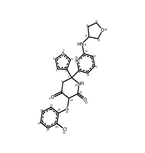 O=C1CC(c2ccsc2)(c2cccc(NC3CCOC3)n2)NC(=O)C1Sc1ccccc1Cl